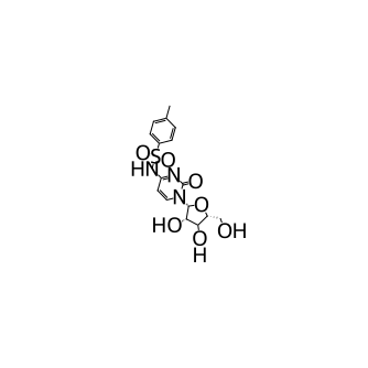 Cc1ccc(S(=O)(=O)Nc2ccn([C@@H]3O[C@H](CO)C(O)[C@@H]3O)c(=O)n2)cc1